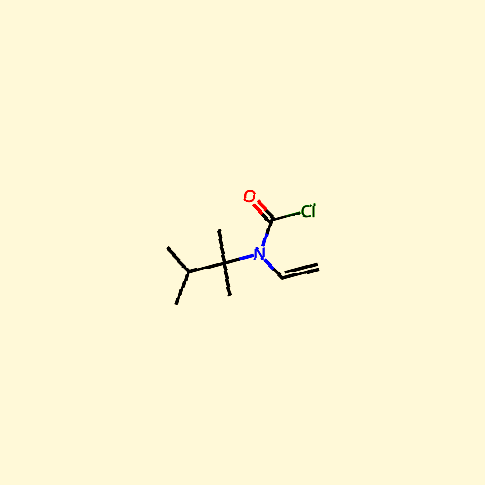 C=CN(C(=O)Cl)C(C)(C)C(C)C